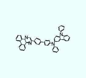 c1ccc(N(c2ccc(-c3ccc(-c4cnc5c6ccccc6c6ccccc6c5n4)cc3)cc2)c2ccc3c(c2)c2ccccc2n3-c2ccccc2)cc1